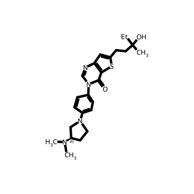 CCC(C)(O)CCc1cc2ncn(-c3ccc(N4CC[C@@H](N(C)C)C4)cc3)c(=O)c2s1